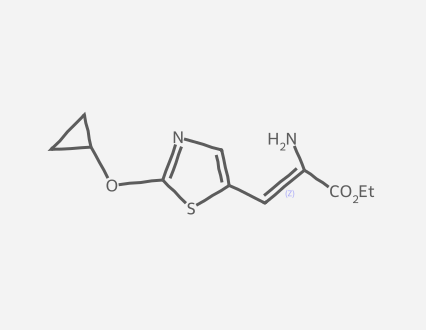 CCOC(=O)/C(N)=C/c1cnc(OC2CC2)s1